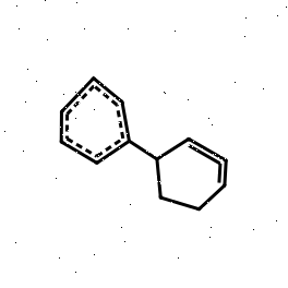 C1=CCCC(c2ccccc2)C=1